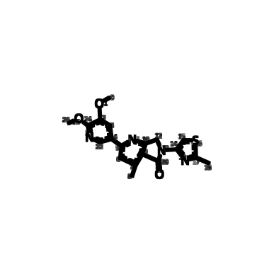 COc1cc(-c2cc(C)c3c(n2)CN(c2csc(C)n2)C3=O)cnc1OC